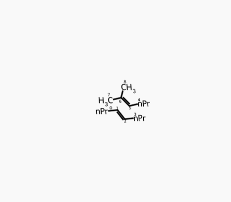 CCC/C=C/CCC.CCCC=C(C)C